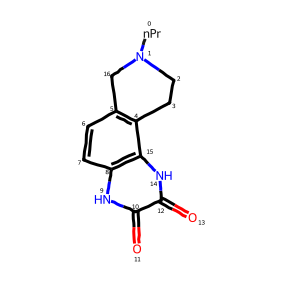 CCCN1CCc2c(ccc3[nH]c(=O)c(=O)[nH]c23)C1